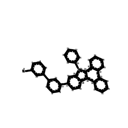 Brc1cccc(-c2cccc(-c3ccc4c5c6ccccc6c6ccccc6c5n(-c5ccccc5)c4c3)c2)c1